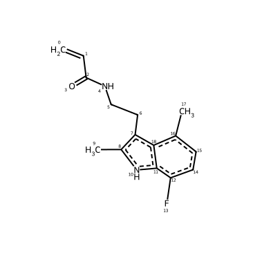 C=CC(=O)NCCc1c(C)[nH]c2c(F)ccc(C)c12